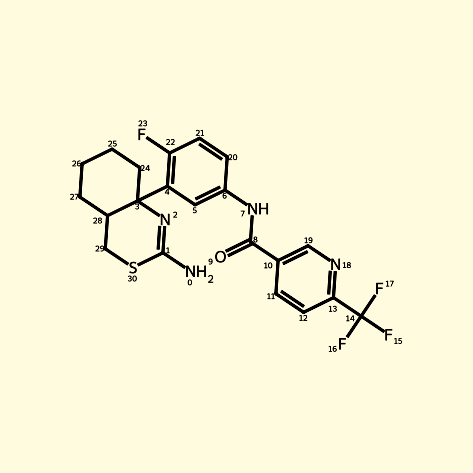 NC1=NC2(c3cc(NC(=O)c4ccc(C(F)(F)F)nc4)ccc3F)CCCCC2CS1